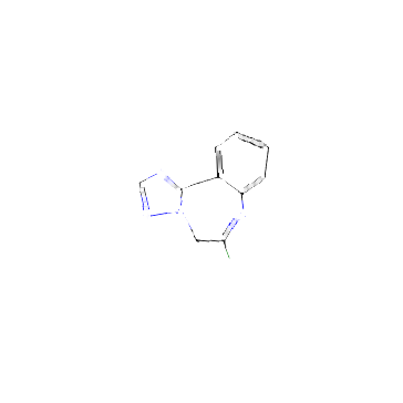 ClC1=Nc2ccccc2-c2ncnn2C1